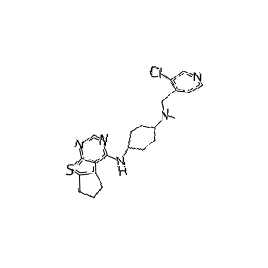 CN(Cc1ccncc1Cl)C1CCC(Nc2ncnc3sc4c(c23)CCC4)CC1